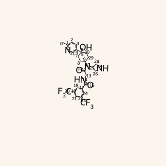 Cc1ccc(C2(O)CCC(N(C(=O)CNC(=O)c3cc(C(F)(F)F)cc(C(F)(F)F)c3)C3CNC3)CC2)cn1